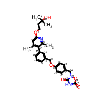 Cc1cc(OCCC(C)(C)O)nc(C)c1-c1cccc(COc2ccc(Cn3oc(=O)[nH]c3=O)cc2)c1